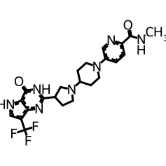 CNC(=O)c1ccc(N2CCC(N3CCC(c4nc5c(C(F)(F)F)c[nH]c5c(=O)[nH]4)C3)CC2)cn1